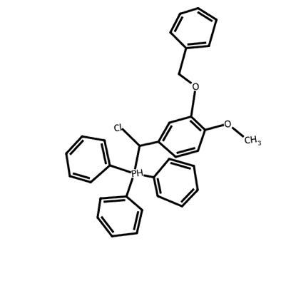 COc1ccc(C(Cl)[PH](c2ccccc2)(c2ccccc2)c2ccccc2)cc1OCc1ccccc1